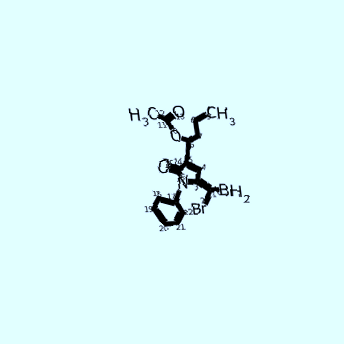 B/C(Br)=C1\C=C(C(CCC)OC(C)=O)C(=O)N1c1ccccc1